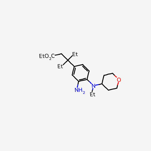 CCOC(=O)CC(CC)(CC)c1ccc(N(CC)C2CCOCC2)c(N)c1